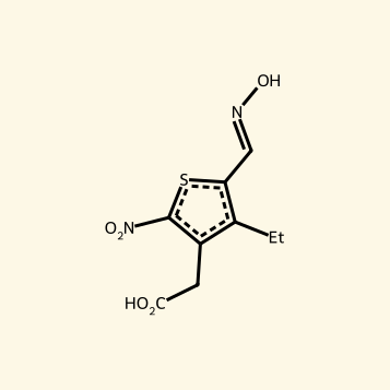 CCc1c(C=NO)sc([N+](=O)[O-])c1CC(=O)O